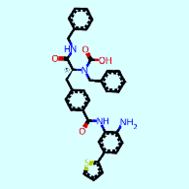 Nc1ccc(-c2cccs2)cc1NC(=O)c1ccc(C[C@@H](C(=O)NCc2ccccc2)N(Cc2ccccc2)C(=O)O)cc1